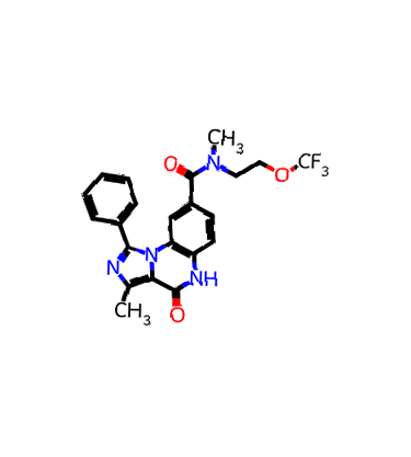 Cc1nc(-c2ccccc2)n2c1c(=O)[nH]c1ccc(C(=O)N(C)CCOC(F)(F)F)cc12